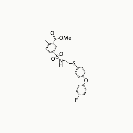 COC(=O)c1cc(S(=O)(=O)NCCSc2ccc(Oc3ccc(F)cc3)cc2)ccc1C